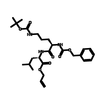 C=CCOC(=O)[C@H](CC(C)C)NC(=O)[C@@H](CCCNC(=O)OC(C)(C)C)NC(=O)OCc1ccccc1